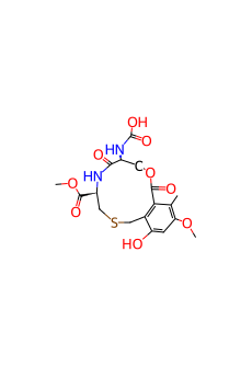 COC(=O)[C@@H]1CSCc2c(O)cc(OC)c(C)c2C(=O)OC[C@H](NC(=O)O)C(=O)N1